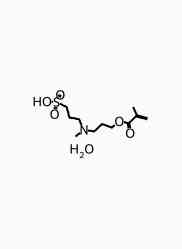 C=C(C)C(=O)OCCCN(C)CCCS(=O)(=O)O.O